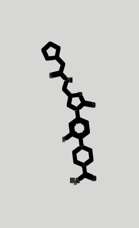 CC(=O)N1CCN(c2ccc(N3CC(CNC(=S)CC4CCCC4)OC3=O)cc2F)CC1